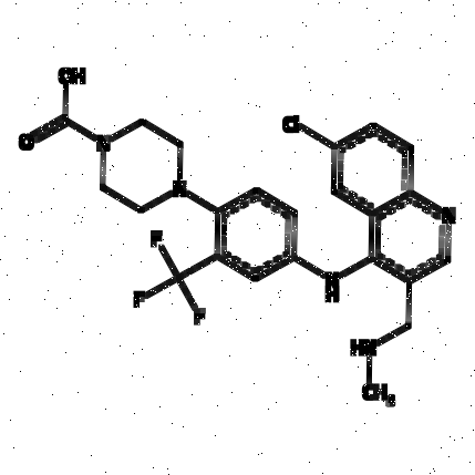 CNCc1cnc2ccc(Cl)cc2c1Nc1ccc(N2CCN(C(=O)O)CC2)c(C(F)(F)F)c1